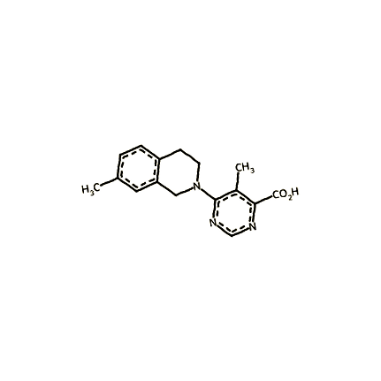 Cc1ccc2c(c1)CN(c1ncnc(C(=O)O)c1C)CC2